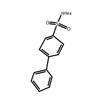 CCCCCCS(=O)(=O)c1ccc(-c2ccccc2)cc1